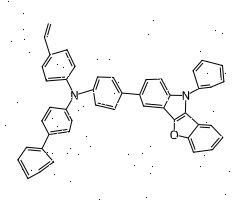 C=Cc1ccc(N(c2ccc(-c3ccccc3)cc2)c2ccc(-c3ccc4c(c3)c3oc5ccccc5c3n4-c3ccccc3)cc2)cc1